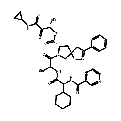 CCC[C@H](NC(=O)[C@@H]1C[C@]2(CC(c3ccccc3)=NO2)CN1C(=O)[C@@H](NC(=O)[C@@H](NC(=O)c1cnccn1)C1CCCCC1)C(C)(C)C)C(=O)C(=O)NC1CC1